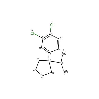 CCCC(C(C)=O)C1(c2ccc(Cl)c(Cl)c2)CCCC1